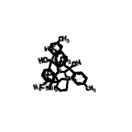 Cc1ccc(C(O)(c2ccc(C)cc2)[C@@H](C)N(C(=O)C2(C(N)=O)CCCCC2)[C@H](C)C(O)(c2ccc(C)cc2)c2ccc(C)cc2)cc1